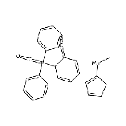 O=C=C1C=CC=CC1P(=C=O)(c1ccccc1)c1ccccc1.[CH3][Mn][C]1=CC=CC1